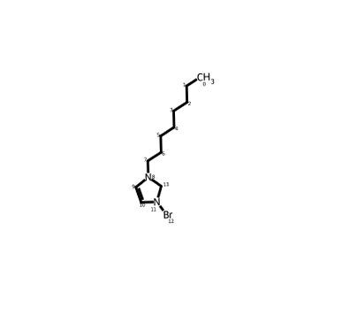 CCCCCCCCN1C=CN(Br)C1